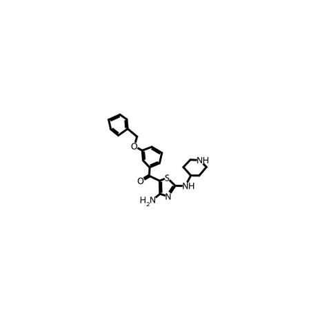 Nc1nc(NC2CCNCC2)sc1C(=O)c1cccc(OCc2ccccc2)c1